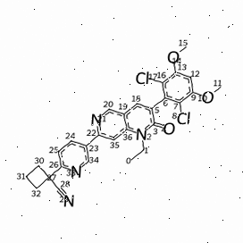 CCn1c(=O)c(-c2c(Cl)c(OC)cc(OC)c2Cl)cc2cnc(-c3ccc(C4(C#N)CCC4)nc3)cc21